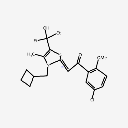 CCC(O)(CC)C1=C(C)N(CC2CCC2)/C(=C/C(=O)c2cc(Cl)ccc2OC)S1